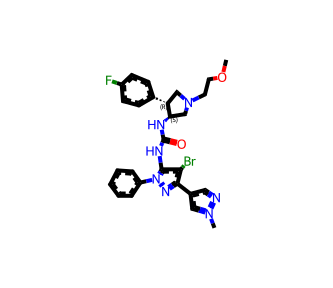 COCCN1C[C@@H](NC(=O)Nc2c(Br)c(-c3cnn(C)c3)nn2-c2ccccc2)[C@H](c2ccc(F)cc2)C1